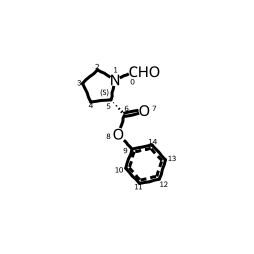 O=CN1CCC[C@H]1C(=O)Oc1ccccc1